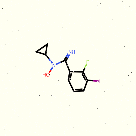 N=C(c1cccc(I)c1F)N(O)C1CC1